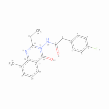 O=C(Cc1ccc(F)cc1)Nn1c(CC(F)(F)F)nc2c(C(F)(F)F)cccc2c1=O